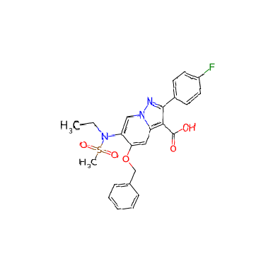 CCN(c1cn2nc(-c3ccc(F)cc3)c(C(=O)O)c2cc1OCc1ccccc1)S(C)(=O)=O